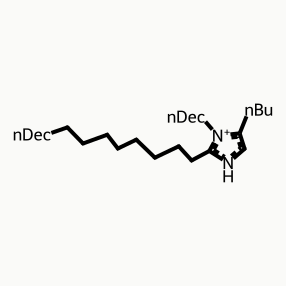 CCCCCCCCCCCCCCCCCCc1[nH]cc(CCCC)[n+]1CCCCCCCCCC